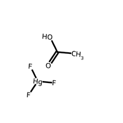 CC(=O)O.[F][Hg]([F])[F]